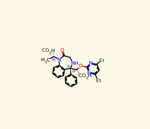 CCc1cc(CC)nc(O[C@H](C(=O)O)[C@@]2(c3ccccc3)NCC(=O)N([C@H](C)C(=O)O)c3ccccc32)n1